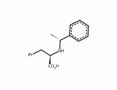 CC(C)C[C@@H](N[C@H](C)c1ccccc1)C(=O)O